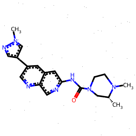 C[C@@H]1CN(C(=O)Nc2cc3cc(-c4cnn(C)c4)cnc3cn2)CCN1C